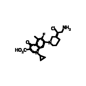 Cc1c(F)c(N2CCCC(=C(Cl)CN)C2)cc2c1c(=O)c(C(=O)O)cn2C1CC1